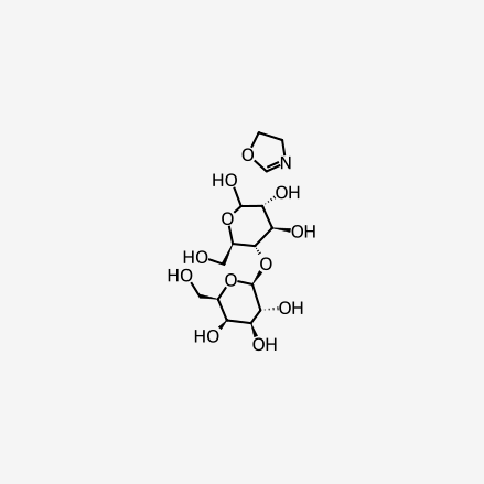 C1=NCCO1.OC[C@H]1O[C@@H](O[C@H]2[C@H](O)[C@@H](O)C(O)O[C@@H]2CO)[C@H](O)[C@@H](O)[C@H]1O